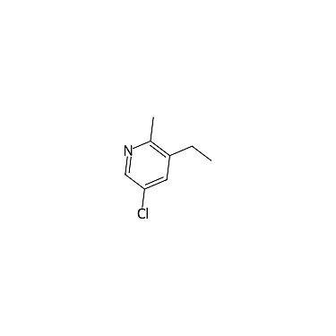 CCc1cc(Cl)cnc1C